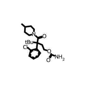 CC1CCN(C(=O)C(CCOC(N)=O)(c2ccccc2Cl)C(C)(C)C)CC1